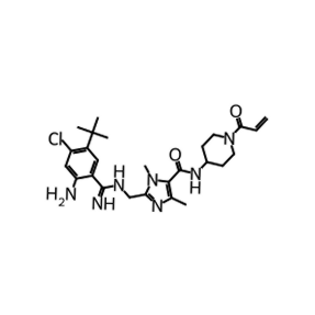 C=CC(=O)N1CCC(NC(=O)c2c(C)nc(CNC(=N)c3cc(C(C)(C)C)c(Cl)cc3N)n2C)CC1